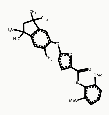 COc1cccc(OC)c1NC(=O)c1ccc(Oc2cc3c(cc2C)C(C)(C)CC3(C)C)o1